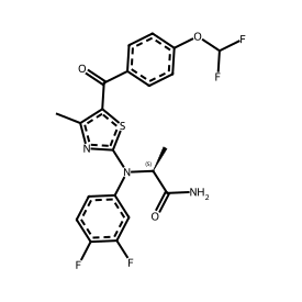 Cc1nc(N(c2ccc(F)c(F)c2)[C@@H](C)C(N)=O)sc1C(=O)c1ccc(OC(F)F)cc1